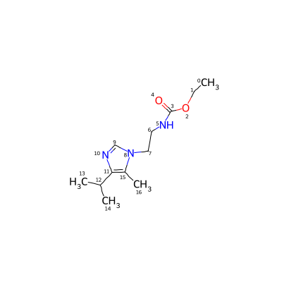 CCOC(=O)NCCn1cnc(C(C)C)c1C